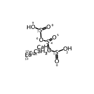 O=S(O)OS(=O)OS(=O)O.[CaH2].[CaH2].[Eu].[Eu]